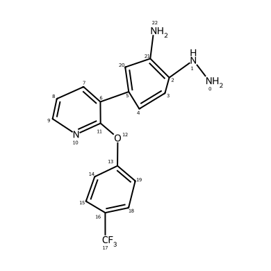 NNc1ccc(-c2cccnc2Oc2ccc(C(F)(F)F)cc2)cc1N